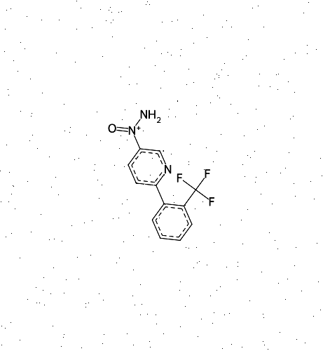 N[N+](=O)c1[c]nc(-c2ccccc2C(F)(F)F)cc1